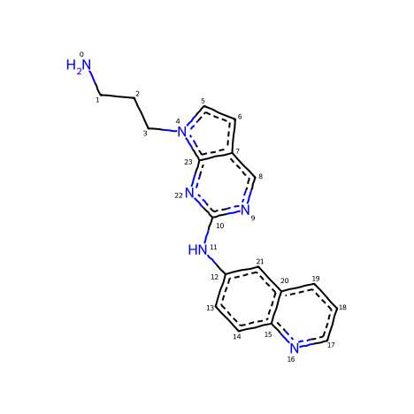 NCCCn1ccc2cnc(Nc3ccc4ncccc4c3)nc21